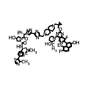 CCc1c(F)ccc2cc(O)cc(-c3ncc4c(N5CCC[C@@](C)(O)C5)nc(OCC5(CN6CCC7(CCN(Cc8cnc(-c9cn([C@H](C(=O)N%10C[C@H](O)C[C@H]%10C(=O)N[C@@H](CN(C)C)c%10ccc(-c%11scnc%11C)cc%10)C(C)C)nn9)cn8)CC7)CC6)CC5)nc4c3F)c12